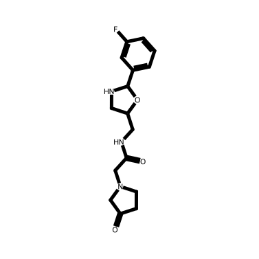 O=C1CCN(CC(=O)NCC2CNC(c3cccc(F)c3)O2)C1